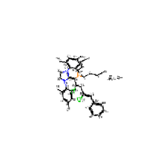 CCCCP(CCCC)C(=C1N(c2c(C)cc(C)cc2C)CCN1c1c(C)cc(C)cc1C)C(Cl)CC(Cl)=Cc1ccccc1.[Ru+2]